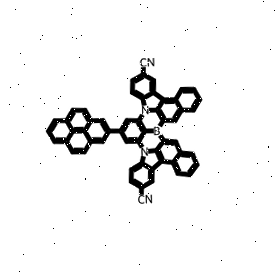 N#Cc1ccc2c(c1)c1c3ccccc3cc3c1n2-c1cc(-c2cc4ccc5cccc6ccc(c2)c4c56)cc2c1B3c1cc3ccccc3c3c4cc(C#N)ccc4n-2c13